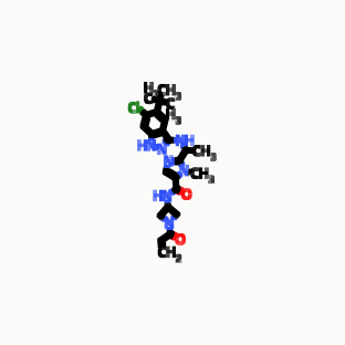 C=CC(=O)N1CC(NC(=O)c2cnc(C(C)Nc3n[nH]c4cc(Cl)c(C(C)(C)C)cc34)n2C)C1